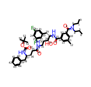 CCCN(CCC)C(=O)c1cc(C)cc(C(=O)N[C@@H](Cc2cc(F)cc(F)c2)[C@H](O)CCNC(=O)CC[C@@H](Cc2ccccc2)NC(=O)OC(C)(C)C)c1